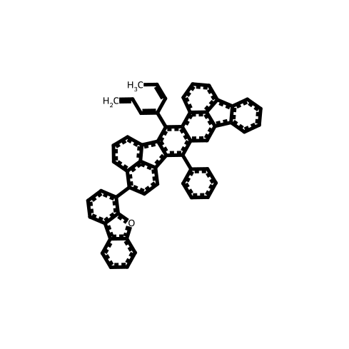 C=C/C=C(\C=C/C)c1c2c(cc3c4ccccc4c4cccc2c43)c(-c2ccccc2)c2c3ccc(-c4cccc5c4oc4ccccc45)c4cccc(c12)c43